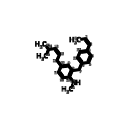 C/C=C\c1ccc(Cc2cc(C/C=C\C(C)C)ccc2NC)cc1